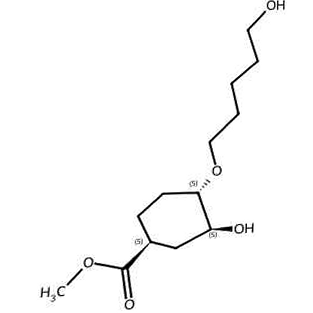 COC(=O)[C@H]1CC[C@H](OCCCCCO)[C@@H](O)C1